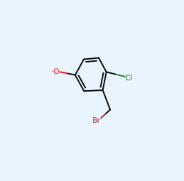 [O]c1ccc(Cl)c(CBr)c1